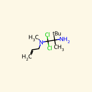 C=CCN(C)C(Cl)(Cl)C(C)(N)C(C)(C)C